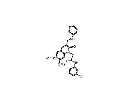 COc1cc2cc(CNc3ccccc3)c(=O)n(CC(=O)Nc3cccc(Cl)c3)c2cc1OC